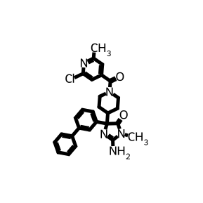 Cc1cc(C(=O)N2CCC(C3(c4cccc(-c5ccccc5)c4)N=C(N)N(C)C3=O)CC2)cc(Cl)n1